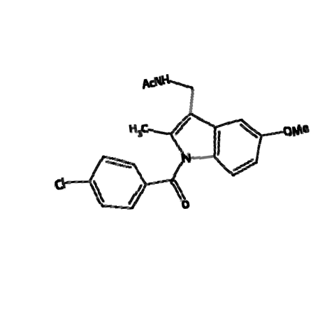 COc1ccc2c(c1)c(CNC(C)=O)c(C)n2C(=O)c1ccc(Cl)cc1